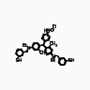 CCONc1ccc(C(c2ccc(N(CC)Cc3cccc(S)c3)cc2C)c2ccc(N(CC)Cc3cccc(S)c3)cc2C)cc1